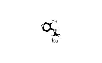 CC(C)(C)OC(=O)NC1CCOCC1O